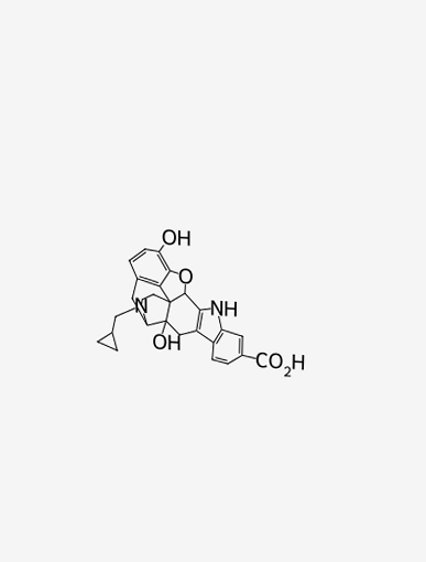 O=C(O)c1ccc2c3c([nH]c2c1)C1Oc2c(O)ccc4c2C12CCN(CC1CC1)C(C4)C2(O)C3